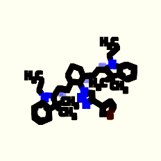 CCCN1/C(=C/C=C2\CCCC(/C=C/C3=[N+](CCC)c4ccccc4C3(C)C)=C2n2cc(-c3ccsc3)nn2)C(C)(C)c2ccccc21